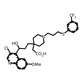 COc1ccc2ncc(Cl)c(C(O)CCC3(CC(=O)O)CCN(CCCSc4cccc(C(F)(F)F)c4)CC3)c2c1